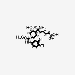 C=C=C(Nc1ccc(Cl)c(Cl)c1)N1CCC(C(N)(CCCCB(O)O)C(=O)O)CC1